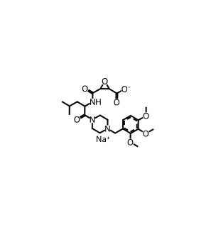 COc1ccc(CN2CCN(C(=O)C(CC(C)C)NC(=O)C3OC3C(=O)[O-])CC2)c(OC)c1OC.[Na+]